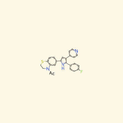 CC(=O)N1CCSc2ccc(-c3cc(-c4ccncc4)c(-c4ccc(F)cc4)[nH]3)cc21